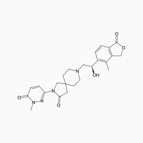 Cc1c([C@@H](O)CN2CCC3(CC2)CC(=O)N(c2ccc(=O)n(C)n2)C3)ccc2c1COC2=O